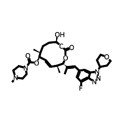 C/C(=C\c1cc(F)c2nnn(C3CCOCC3)c2c1)[C@H]1OC(=O)C[C@H](O)CC[C@H](C)[C@H](OC(=O)N2CCN(C)CC2)/C=C/[C@@H]1C